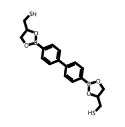 SCC1COB(c2ccc(-c3ccc(B4OCC(CS)O4)cc3)cc2)O1